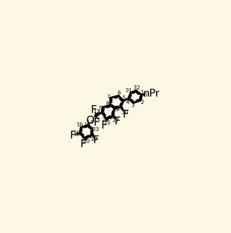 CCCc1ccc(-c2ccc3cc(C(F)(F)Oc4cc(F)c(F)c(F)c4)c(F)c(F)c3c2F)cc1